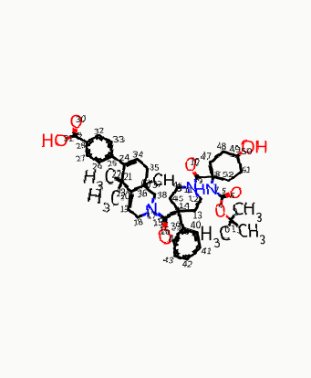 CC(C)(C)OC(=O)NC1(C(=O)N2CCC(C(=O)N3CC=C4C(C)(C)C(c5ccc(C(=O)O)cc5)=CC[C@]4(C)C3)(c3ccccc3)CC2)CCC(O)CC1